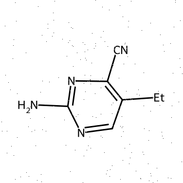 CCc1cnc(N)nc1C#N